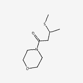 CSC(C)CC(=O)N1CCOCC1